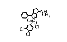 CNC1CCc2c1cn(S(=O)(=O)c1cc(Cl)c(Cl)cc1Cl)c2-c1ccccc1